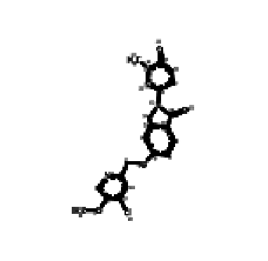 COc1cnc(COc2ccc3c(c2)CN(c2ccc(=O)n(C)n2)C3=O)cc1Cl